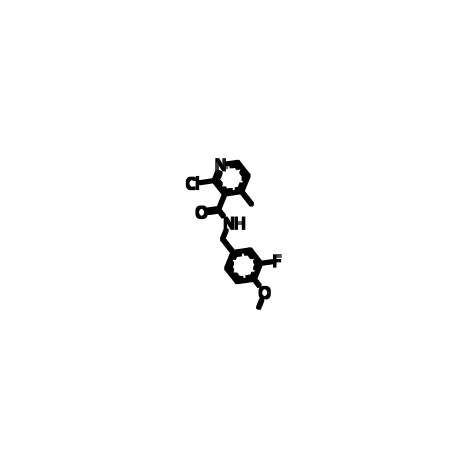 COc1ccc(CNC(=O)c2c(C)ccnc2Cl)cc1F